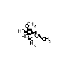 CCCOCc1ccc(O)c(OC)c1.CCO